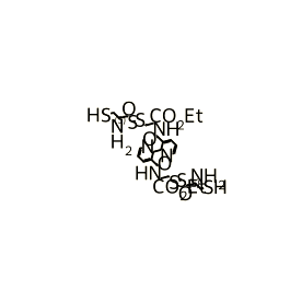 CCOC(=O)C(CSSC(=O)[C@@H](N)CS)NC(=O)c1cccnc1-c1ncccc1C(=O)NC(CSSC(=O)[C@@H](N)CS)C(=O)OCC